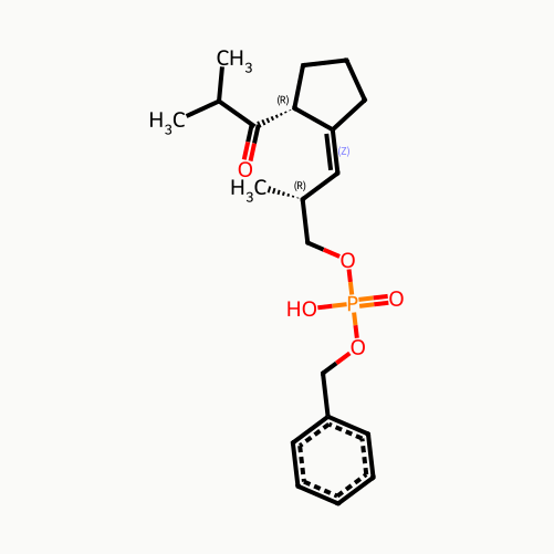 CC(C)C(=O)[C@@H]1CCC/C1=C/[C@@H](C)COP(=O)(O)OCc1ccccc1